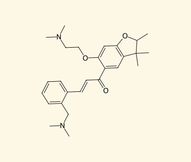 CC1Oc2cc(OCCN(C)C)c(C(=O)C=Cc3ccccc3CN(C)C)cc2C1(C)C